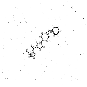 CC(N1[C]N(C2CCN(Cc3ccccc3)CC2)CC1)N1CCC[C@H]1C